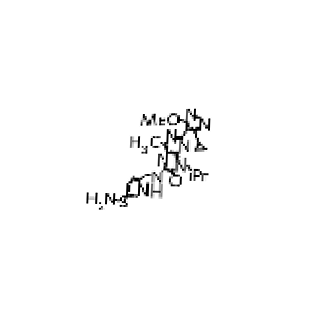 COc1ncnc(C2CC2)c1-c1nc(C)c2nc(NCc3ccc(SN)cn3)c(=O)n(CC(C)C)c2n1